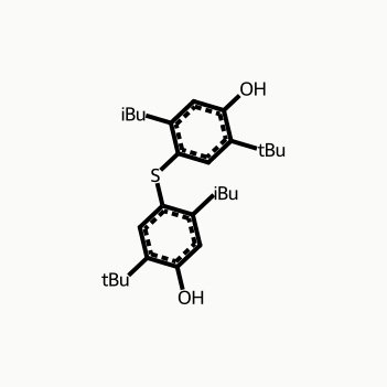 CCC(C)c1cc(O)c(C(C)(C)C)cc1Sc1cc(C(C)(C)C)c(O)cc1C(C)CC